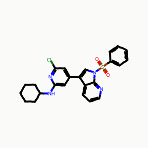 O=S(=O)(c1ccccc1)n1cc(-c2cc(Cl)nc(NC3CCCCC3)c2)c2cccnc21